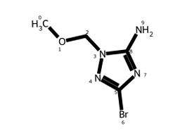 COCn1nc(Br)nc1N